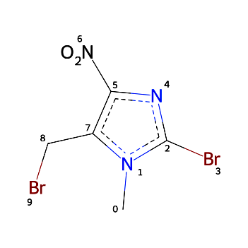 Cn1c(Br)nc([N+](=O)[O-])c1CBr